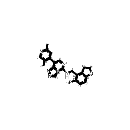 Cc1cc(-c2cnc(NCc3c(F)ccc4c3CCO4)n3cnnc23)c(C)cn1